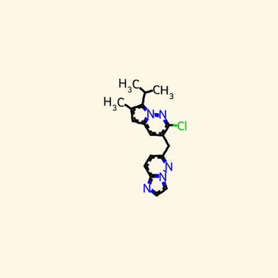 Cc1cc2cc(Cc3ccc4nccn4n3)c(Cl)nn2c1C(C)C